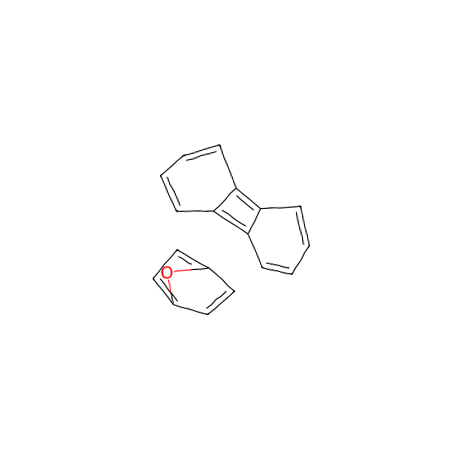 c1cc2ccc1o2.c1ccc2c(c1)=c1ccccc1=2